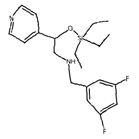 CC[Si](CC)(CC)OC(CNCc1cc(F)cc(F)c1)c1ccncc1